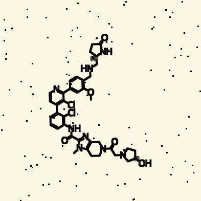 COc1cc(-c2nccc(-c3cccc(NC(=O)c4nc5c(n4C)CCN(C(=O)CN4CC[C@@H](O)C4)C5)c3Cl)c2Cl)ccc1CNC[C@H]1CCC(=O)N1